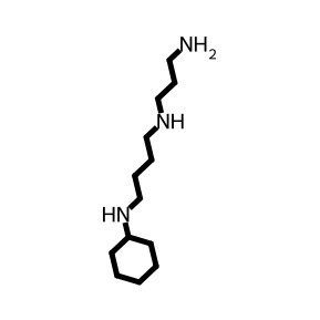 NCCCNCCCCNC1CCCCC1